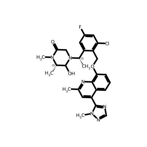 Cc1cc(-c2ncnn2C)c2cccc(OCc3c(Cl)cc(F)cc3[C@H](C)N3CC(=O)N(C)[C@@H](C)C3O)c2n1